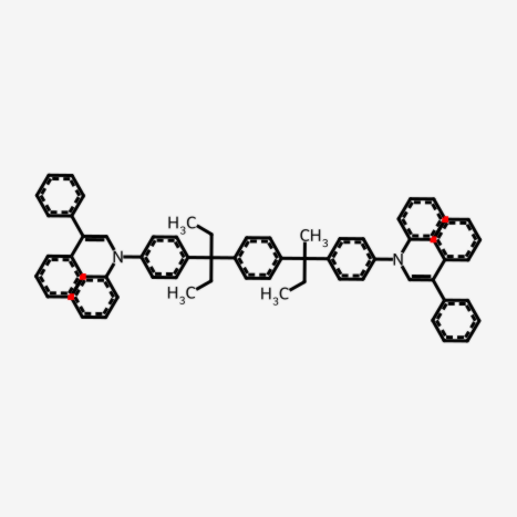 CCC(C)(c1ccc(N(C=C(c2ccccc2)c2ccccc2)c2ccccc2)cc1)c1ccc(C(CC)(CC)c2ccc(N(C=C(c3ccccc3)c3ccccc3)c3ccccc3)cc2)cc1